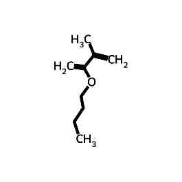 C=C(C)C(=C)OCCCC